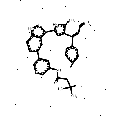 C=C/C=C(/c1ccc(F)cc1)c1cc(-c2n[nH]c3ccc(-c4cncc(NC(=O)CC(C)(C)C)c4)cc23)[nH]c1C